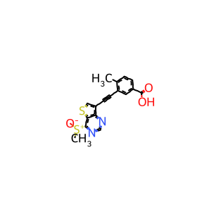 Cc1ccc(C(=O)O)cc1C#Cc1csc2c([S+](C)[O-])ncnc12